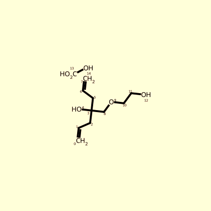 C=CCC(O)(CC=C)COCCO.O=C(O)O